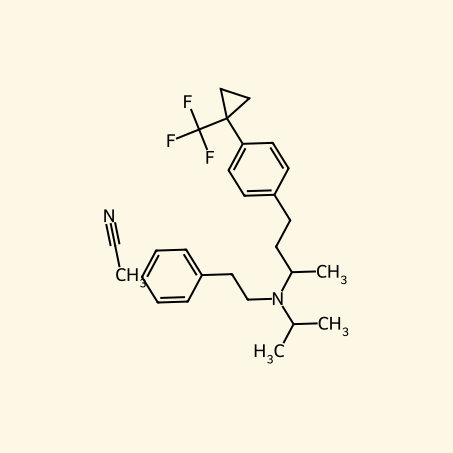 CC#N.CC(C)N(CCc1ccccc1)C(C)CCc1ccc(C2(C(F)(F)F)CC2)cc1